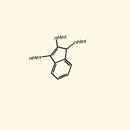 CCCCCC[C]1C(CCCCCC)=C(CCCCCC)c2ccccc21